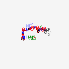 CN(CCN1CCC(OC(=O)Nc2ccccc2-c2ccccc2)CC1)C(=O)CCCCCNCc1ccc(NC(=O)OCCCN(C)C(=O)CO[C@H]2Cc3ccccc3C23CCN(CC[C@@]2(c4ccc(F)cc4)CN(C(=O)c4cc(C(F)(F)F)cc(C(F)(F)F)c4)CO2)CC3)cc1.Cl.Cl.Cl